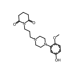 COc1ccc(O)cc1N1CCN(CCCN2C(=O)CCCC2=O)CC1